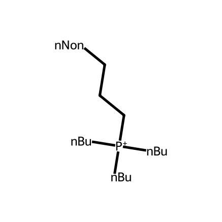 CCCCCCCCCCCC[P+](CCCC)(CCCC)CCCC